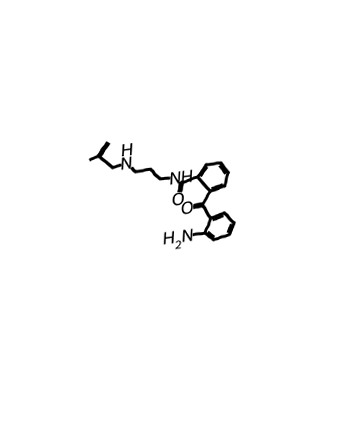 C=C(C)CNCCCNC(=O)c1ccccc1C(=O)c1ccccc1N